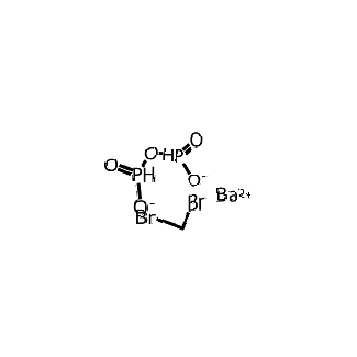 BrCBr.O=[PH]([O-])O[PH](=O)[O-].[Ba+2]